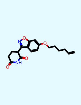 C=CCCCCOc1ccc2c(C3CCC(=O)NC3=O)noc2c1